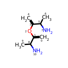 C=C(OC(=C)C(C)N)C(C)N